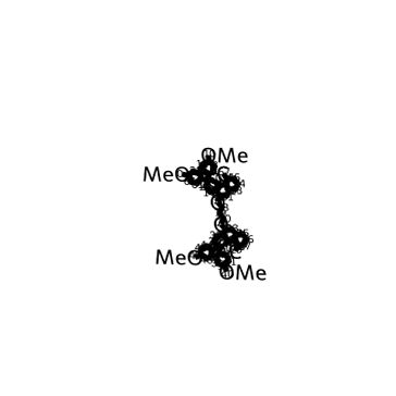 COc1ccc(C2(c3ccc(OC)cc3)C=Cc3c(OCCCOc4cc5cccc(C(F)(F)F)c5c5c4C=CC(c4ccc(OC)cc4)(c4ccc(OC)cc4)O5)cc4cccc(C(F)(F)F)c4c3O2)cc1